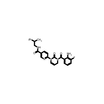 CC(C)C(C)CNC(=O)c1ccc(N2C=CCN(C(=O)c3cccc(F)c3N)C2=O)nc1